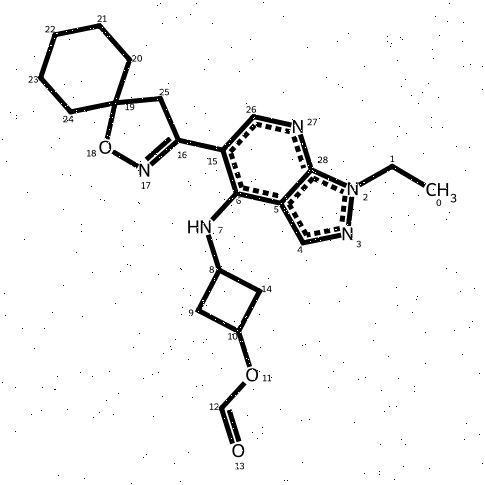 CCn1ncc2c(NC3CC(OC=O)C3)c(C3=NOC4(CCCCC4)C3)cnc21